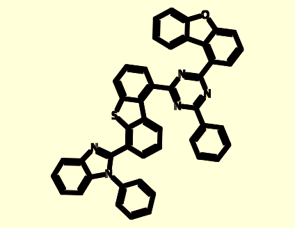 c1ccc(-c2nc(-c3cccc4oc5ccccc5c34)nc(-c3cccc4sc5c(-c6nc7ccccc7n6-c6ccccc6)cccc5c34)n2)cc1